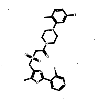 Cc1ccc(Cl)cc1N1CCN(C(=O)CS(=O)(=O)Cc2nc(-c3ccccc3F)oc2C)CC1